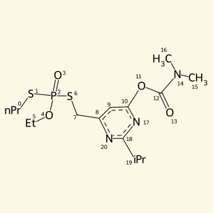 CCCSP(=O)(OCC)SCc1cc(OC(=O)N(C)C)nc(C(C)C)n1